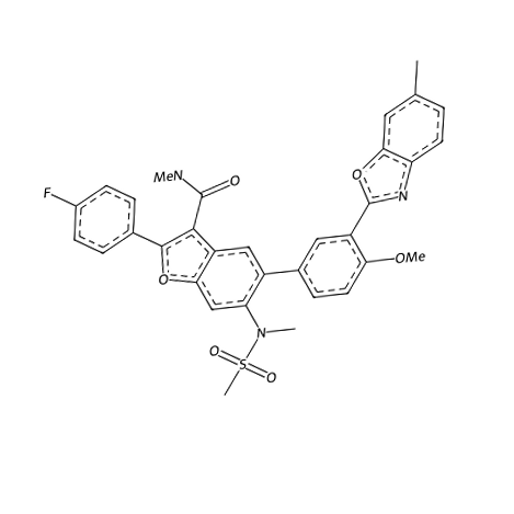 CNC(=O)c1c(-c2ccc(F)cc2)oc2cc(N(C)S(C)(=O)=O)c(-c3ccc(OC)c(-c4nc5ccc(C)cc5o4)c3)cc12